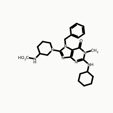 Cn1c(NC2CCCCC2)nc2nc(N3CCCC(NC(=O)O)C3)n(Cc3ccccc3)c2c1=O